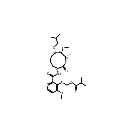 COc1ccnc(C(=O)N[C@H]2CCC[C@H](OCC(C)C)[C@@H](OC)[C@H](C)OC2=O)c1OCOC(=O)C(C)C